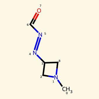 CN1CC(N=NC=O)C1